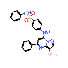 Bc1cnn2c(Nc3ccc(S(=O)(=O)Nc4ccccc4)cc3)cc(-c3ccccc3)nc12